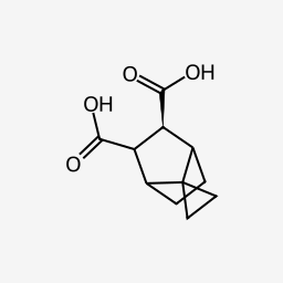 O=C(O)C1C2CCC([C@@H]1C(=O)O)C21CC1